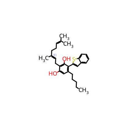 CCCCCc1cc(O)c(C/C=C(\C)CCC=C(C)C)c(O)c1-c1cc2ccccc2s1